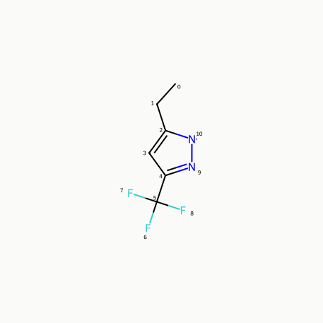 CCC1=CC(C(F)(F)F)=N[N]1